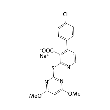 COc1cc(OC)nc(Sc2nccc(-c3ccc(Cl)cc3)c2C(=O)[O-])n1.[Na+]